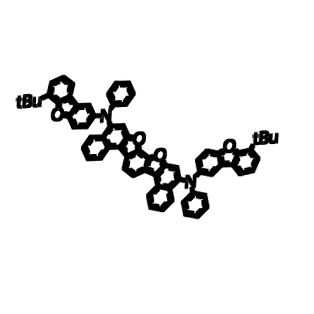 CC(C)(C)c1cccc2c1oc1ccc(N(c3ccccc3)c3cc4oc5c(ccc6c5oc5cc(N(c7ccccc7)c7ccc8oc9c(C(C)(C)C)cccc9c8c7)c7ccccc7c56)c4c4ccccc34)cc12